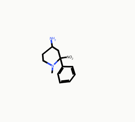 CN1CCC(N)CC1(c1ccccc1)[N+](=O)[O-]